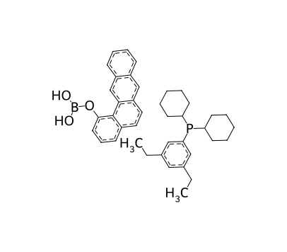 CCc1cc(CC)cc(P(C2CCCCC2)C2CCCCC2)c1.OB(O)Oc1cccc2ccc3cc4ccccc4cc3c12